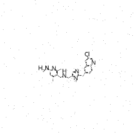 Cc1cc(N)nc(C)c1CNCc1cnc(Cc2ccc3ncc(Cl)cc3c2)n1C